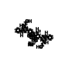 Nc1cc(-c2nc(NCCO)nc(Nc3ccccc3)n2)cc(S(=O)(=O)[O-])c1C=Cc1ccc(-c2nc(NCCO)nc(Nc3ccccc3)n2)cc1S(=O)(=O)[O-].[Na+].[Na+]